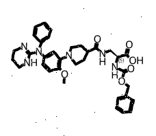 COc1ccc(N(C2=NCCCN2)c2ccccc2)cc1N1CCC(C(=O)NC[C@H](NC(=O)OCc2ccccc2)C(=O)O)CC1